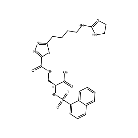 O=C(NC[C@H](NS(=O)(=O)c1cccc2ccccc12)C(=O)O)c1nnc(CCCCNC2=NCCN2)s1